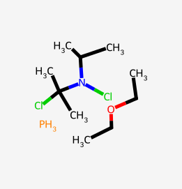 CC(C)N(Cl)C(C)(C)Cl.CCOCC.P